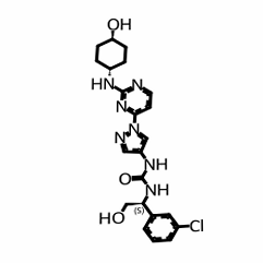 O=C(Nc1cnn(-c2ccnc(N[C@H]3CC[C@H](O)CC3)n2)c1)N[C@H](CO)c1cccc(Cl)c1